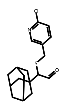 O=CC(SCc1ccc(Cl)nc1)C12CC3CC(CC(C3)C1)C2